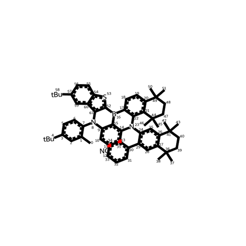 Cc1cc(C(C)(C)C)ccc1N1c2cc(C#N)cc3c2B(c2ccc4c(c2N3c2cc3c(cc2-c2ccccc2)C(C)(C)CCC3(C)C)C(C)(C)CCC4(C)C)c2sc3ccc(C(C)(C)C)cc3c21